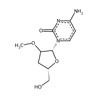 COC1C[C@@H](CO)O[C@H]1n1ccc(N)nc1=O